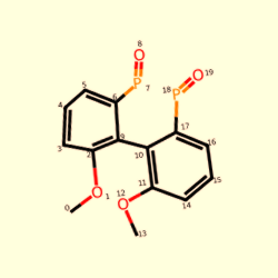 COc1cccc(P=O)c1-c1c(OC)cccc1P=O